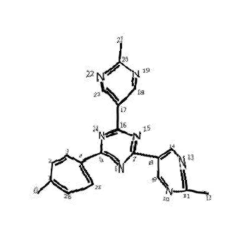 Cc1ccc(-c2nc(-c3cnc(C)nc3)nc(-c3cnc(C)nc3)n2)cc1